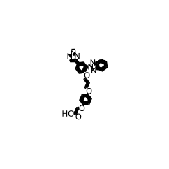 Cn1ncc(-c2ccc(OCCCOc3ccc(OCC(=O)O)cc3)c(-n3nc4ccccc4n3)c2)n1